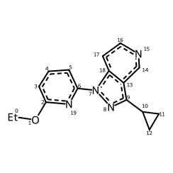 CCOc1cccc(-n2nc(C3CC3)c3cnccc32)n1